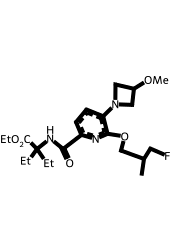 CCOC(=O)C(CC)(CC)NC(=O)c1ccc(N2CC(OC)C2)c(OCC(C)CF)n1